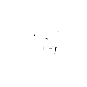 CC(=O)OCC(CO)(COC=O)COC(C)=O